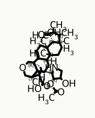 CC(=O)O[C@H]1C(O)CN[C@@H]1C1C[C@@]23COC[C@](C)(C1C(=O)O)[C@H]2CC[C@H]1C3=CC[C@@]2(C)[C@H](C(=O)O)[C@@](C)([C@H](C)C(C)C)CC[C@]12C